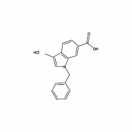 Cc1cn(Cc2ccccc2)c2cc(C(=O)O)ccc12.Cl